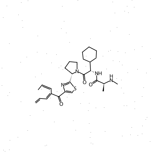 C=C/C=C(\C=C/C)C(=O)c1csc([C@@H]2CCCN2C(=O)[C@@H](NC(=O)[C@H](C)NC)C2CCCCC2)n1